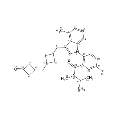 Cc1cncc2c1c(CC1CN(CC3CC(=O)C3)C1)cn2-c1ccc(F)cc1C(=O)N(C)C(C)C